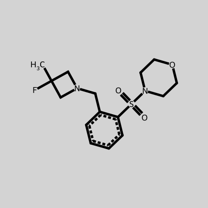 CC1(F)CN(Cc2ccccc2S(=O)(=O)N2CCOCC2)C1